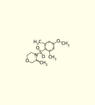 C=C1COCCN1S(=O)(=O)c1c(C)cc(OC)cc1C